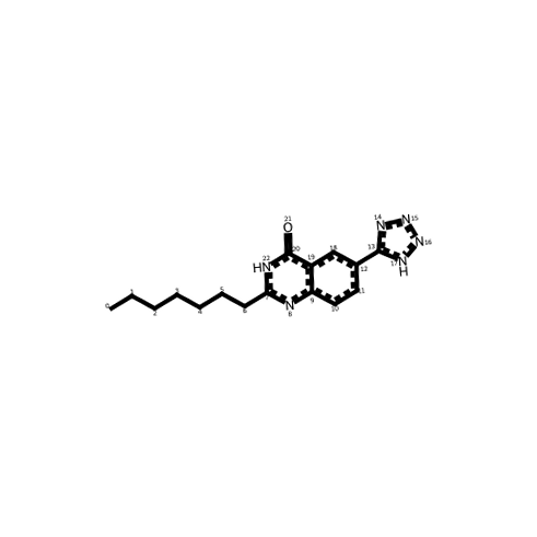 CCCCCCCc1nc2ccc(-c3nnn[nH]3)cc2c(=O)[nH]1